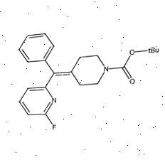 CC(C)(C)OC(=O)N1CCC(=C(c2ccccc2)c2cccc(F)n2)CC1